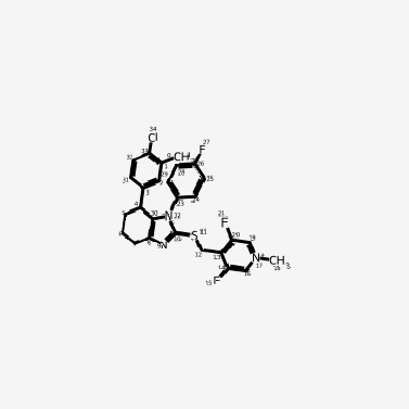 Cc1cc(C2CCCc3nc(SCc4c(F)c[n+](C)cc4F)n(-c4ccc(F)cc4)c32)ccc1Cl